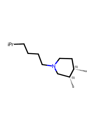 CC(C)CCCCN1CC[C@H](C)[C@H](C)C1